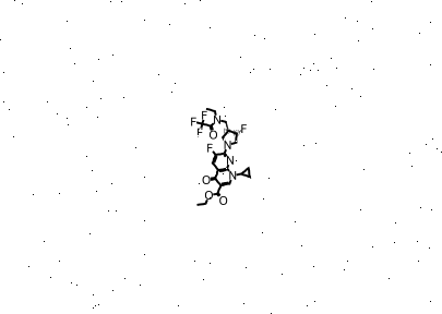 CCOC(=O)c1cn(C2CC2)c2nc(N3C[C@@H](CN(CC)C(=O)C(F)(F)F)[C@H](F)C3)c(F)cc2c1=O